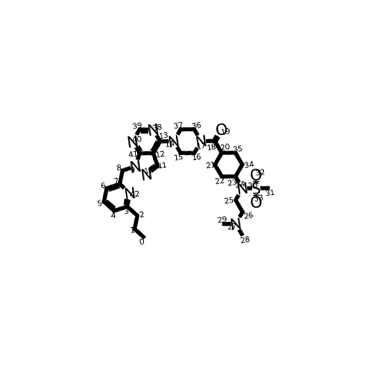 CCCc1cccc(Cn2ncc3c(N4CCN(C(=O)C5CCC(N(CCN(C)C)S(C)(=O)=O)CC5)CC4)ncnc32)n1